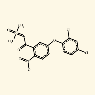 CS(C)(=O)=NC(=O)c1cc(Oc2ncc(Cl)cc2Cl)ccc1[N+](=O)[O-]